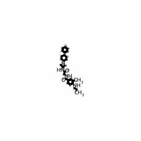 CCCNc1ccc(C(=O)NCC(=O)NC2CN([C@H]3CC[C@@H](c4ccccc4)CC3)C2)cc1C